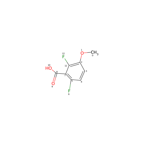 COc1ccc(F)c(C(=O)O)c1F